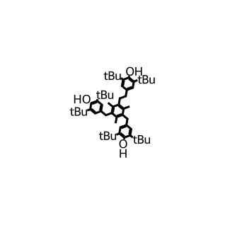 Cc1c(CCc2cc(C(C)(C)C)c(O)c(C(C)(C)C)c2)c(C)c(Cc2cc(C(C)(C)C)c(O)c(C(C)(C)C)c2)c(C)c1Cc1cc(C(C)(C)C)c(O)c(C(C)(C)C)c1